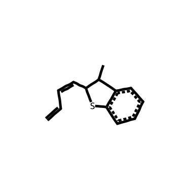 C=C/C=C\C1Sc2ccccc2C1C